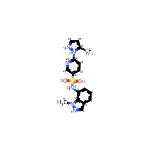 Cn1ncc2cccc(NS(=O)(=O)c3ccc(-n4nccc4C(F)(F)F)nc3)c21